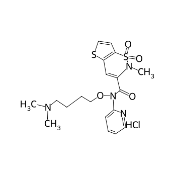 CN(C)CCCCON(C(=O)C1=Cc2sccc2S(=O)(=O)N1C)c1ccccn1.Cl